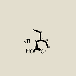 CCC(CC)CC(=O)O.[Ti]